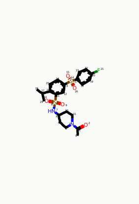 CC(=O)N1CCC(NS(=O)(=O)c2cc(S(=O)(=O)c3ccc(F)cc3)ccc2C(C)C)CC1